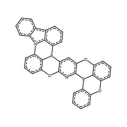 c1ccc2c(c1)Oc1cccc3c1B2c1nc2c(cc1O3)B1c3c(cccc3-n3c4ccccc4c4cccc1c43)O2